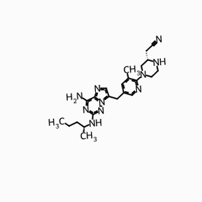 CCC[C@H](C)Nc1nc(N)c2ncc(Cc3cnc(N4CCN[C@@H](CC#N)C4)c(C)c3)n2n1